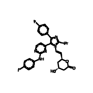 CC(C)c1nc(-c2ccc(F)cc2)c(-c2ccnc(Nc3ccc(F)cc3)n2)n1/C=C/[C@@H]1C[C@@H](O)CC(=O)O1